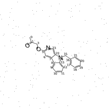 CC(=O)COc1cc2c3ccccc3n(Cc3ccccc3)c2cn1